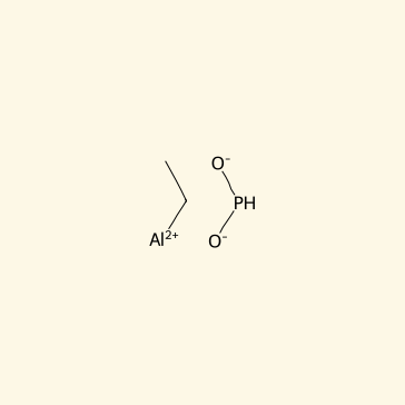 C[CH2][Al+2].[O-]P[O-]